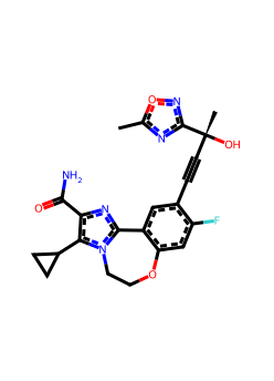 Cc1nc([C@](C)(O)C#Cc2cc3c(cc2F)OCCn2c-3nc(C(N)=O)c2C2CC2)no1